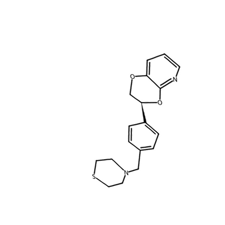 c1cnc2c(c1)OC[C@H](c1ccc(CN3CCSCC3)cc1)O2